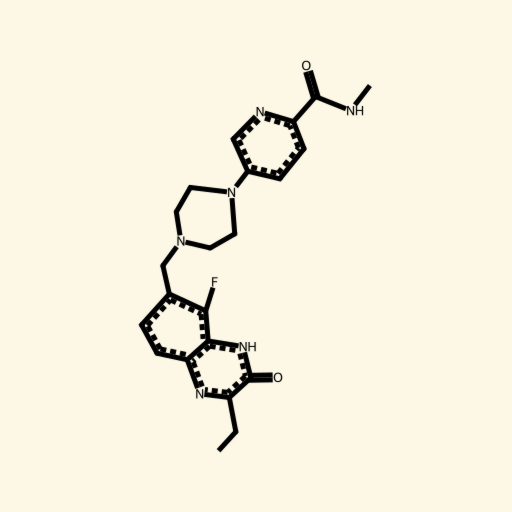 CCc1nc2ccc(CN3CCN(c4ccc(C(=O)NC)nc4)CC3)c(F)c2[nH]c1=O